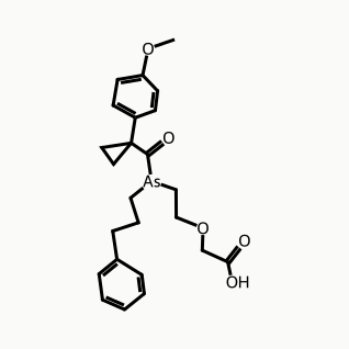 COc1ccc(C2(C(=O)[As](CCCc3ccccc3)CCOCC(=O)O)CC2)cc1